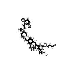 CCCCOc1nc(N)c2[nH]nc(Cc3ccc(CN4CCC(NCCN5C(=O)C=CC5=O)CC4)cc3OC)c2n1